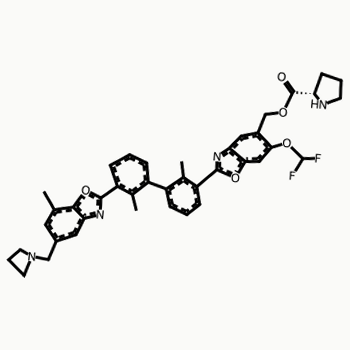 Cc1c(-c2nc3cc(COC(=O)[C@@H]4CCCN4)c(OC(F)F)cc3o2)cccc1-c1cccc(-c2nc3cc(CN4CCC4)cc(C)c3o2)c1C